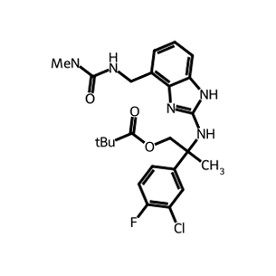 CNC(=O)NCc1cccc2[nH]c(NC(C)(COC(=O)C(C)(C)C)c3ccc(F)c(Cl)c3)nc12